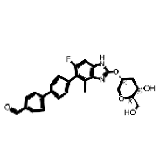 Cc1c(-c2ccc(-c3ccc(C=O)cc3)cc2)c(F)cc2[nH]c(O[C@H]3CO[C@H](CO)[C@@H](O)C3)nc12